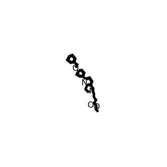 CCOC(=O)CCCN1CCc2nc(-c3ccc(OCc4ccccc4)cc3)ccc2C1